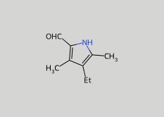 [CH2]Cc1c(C)[nH]c(C=O)c1C